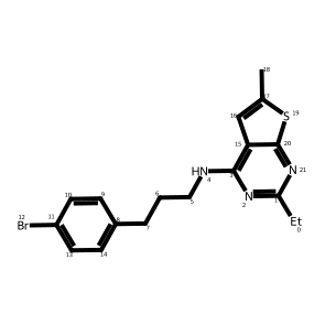 CCc1nc(NCCCc2ccc(Br)cc2)c2cc(C)sc2n1